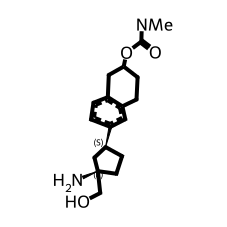 CNC(=O)OC1CCc2cc([C@H]3CC[C@](N)(CO)C3)ccc2C1